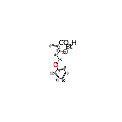 C=C(C(=O)O)C(CCOc1ccccc1)OCC